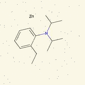 CCc1ccccc1N(C(C)C)C(C)C.[Zn]